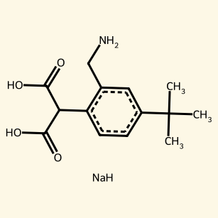 CC(C)(C)c1ccc(C(C(=O)O)C(=O)O)c(CN)c1.[NaH]